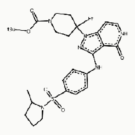 CCC1(n2nc(Nc3ccc(S(=O)(=O)N4CCCC4C)cc3)c3c(=O)[nH]ccc32)CCN(C(=O)OC(C)(C)C)CC1